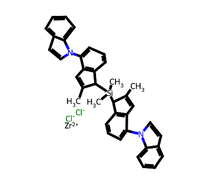 CC1=Cc2c(cccc2-n2ccc3ccccc32)C1[Si](C)(C)C1C(C)=Cc2c1cccc2-n1ccc2ccccc21.[Cl-].[Cl-].[Zr+2]